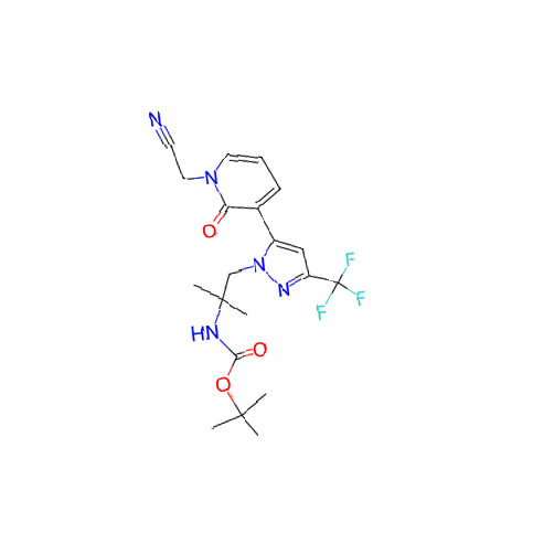 CC(C)(Cn1nc(C(F)(F)F)cc1-c1cccn(CC#N)c1=O)NC(=O)OC(C)(C)C